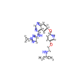 CC(C)NCCOc1ccc(Oc2ccc3ncnc(Nc4cnn(C5CC5)n4)c3c2)nc1